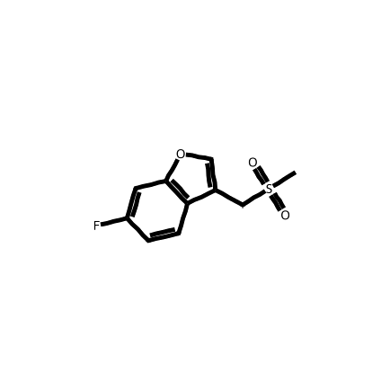 CS(=O)(=O)[CH]c1coc2cc(F)ccc12